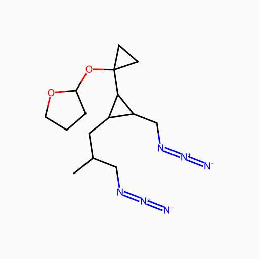 CC(CN=[N+]=[N-])CC1C(CN=[N+]=[N-])C1C1(OC2CCCO2)CC1